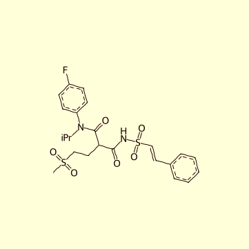 CC(C)N(C(=O)C(CCS(C)(=O)=O)C(=O)NS(=O)(=O)C=Cc1ccccc1)c1ccc(F)cc1